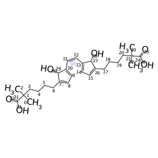 CC(C)(CCCCC1=CC=C(/C=C\C2=CC=C(CCCCC(C)(C)C(=O)O)C2O)C1O)C(=O)O